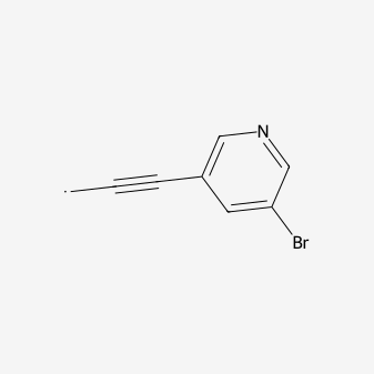 [CH2]C#Cc1cncc(Br)c1